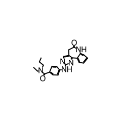 CCCN(CC)C(=O)c1ccc(Nc2ncc3c(n2)-c2ccccc2NC(=O)C3)cc1